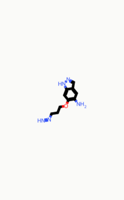 N=NCCCOc1cc2[nH]ncc2cc1N